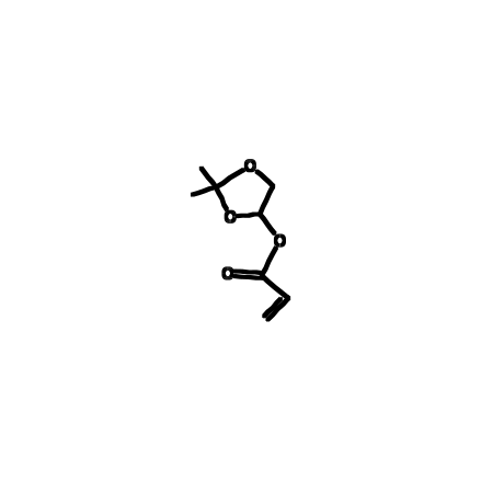 C=CC(=O)OC1COC(C)(C)O1